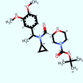 COc1ccc(C(C)N(C(=O)[C@H]2CN(C(=O)OC(C)(C)C)CCO2)C2CC2)cc1OC